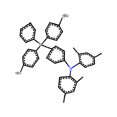 Cc1ccc(N(c2ccc([Si](c3ccccc3)(c3ccc(C(C)(C)C)cc3)c3ccc(C(C)(C)C)cc3)cc2)c2ccc(C)cc2C)c(C)c1